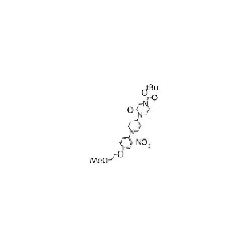 COCCOc1ccc(N2CCC(N3CCN(C(=O)OC(C)(C)C)CC3=O)CC2)c([N+](=O)[O-])c1